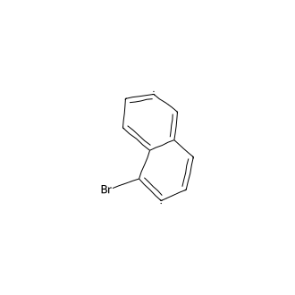 Brc1[c]ccc2c[c]ccc12